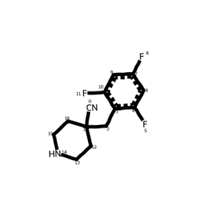 N#CC1(Cc2c(F)cc(F)cc2F)CCNCC1